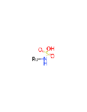 O=S(=O)(O)[NH][Ru]